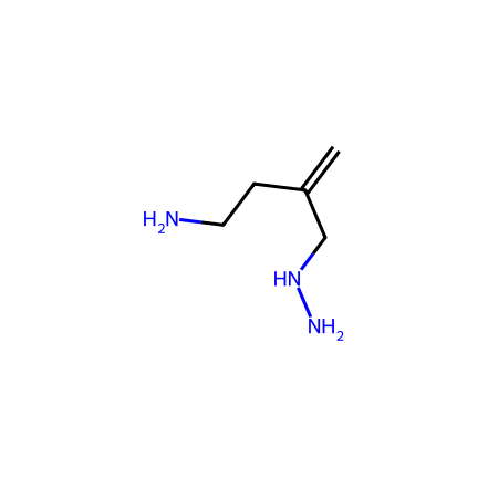 C=C(CCN)CNN